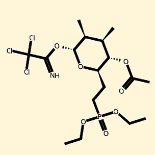 CCOP(=O)(CC[C@H]1O[C@H](OC(=N)C(Cl)(Cl)Cl)[C@@H](C)[C@@H](C)[C@@H]1OC(C)=O)OCC